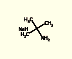 CC(C)(C)N.[NaH]